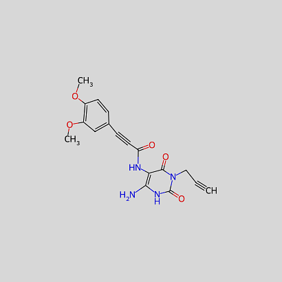 C#CCn1c(=O)[nH]c(N)c(NC(=O)C#Cc2ccc(OC)c(OC)c2)c1=O